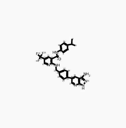 CC(C)c1ccc(NC(=O)c2cc(C(F)(F)F)cnc2NCc2ccc(-c3cnc4[nH]nc(N)c4c3)cc2)cc1